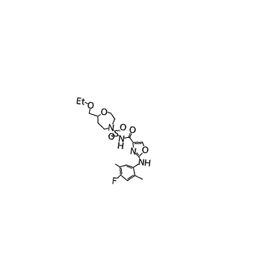 CCOCC1CCN(S(=O)(=O)NC(=O)c2coc(Nc3cc(C)c(F)cc3C)n2)CCO1